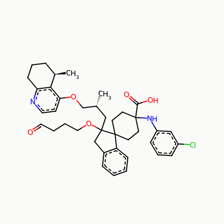 C[C@@H](COc1ccnc2c1[C@H](C)CCC2)CC1(OCCCC=O)Cc2ccccc2C12CCC(Nc1cccc(Cl)c1)(C(=O)O)CC2